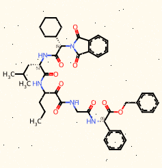 CCCC(NC(=O)[C@H](CC(C)C)NC(=O)[C@H](C1CCCCC1)N1C(=O)c2ccccc2C1=O)C(=O)C(=O)NCC(=O)N[C@H](C(=O)OCc1ccccc1)c1ccccc1